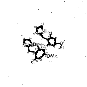 CCOc1cc(CC)c(Cc2ncc[nH]2)c(CC)c1.CCc1cc(OC)cc(CC)c1Cc1ncc[nH]1